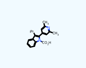 Cc1cc(-c2c(C(C)C)c3ccccc3n2C(=O)O)cc(C)n1